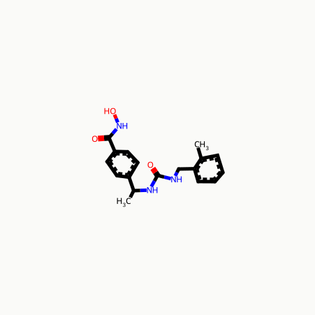 Cc1ccccc1CNC(=O)NC(C)c1ccc(C(=O)NO)cc1